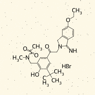 Br.CCOc1ccc2c(c1)CN(CC(=O)c1cc(CN(C)S(C)(=O)=O)c(O)c(C(C)(C)C)c1)C2=N